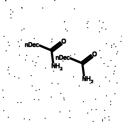 CCCCCCCCCCC(N)=O.CCCCCCCCCCC(N)=O